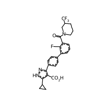 O=C(O)c1c(-c2ccc(-c3cccc(C(=O)N4CCCC(C(F)(F)F)C4)c3F)cc2)n[nH]c1C1CC1